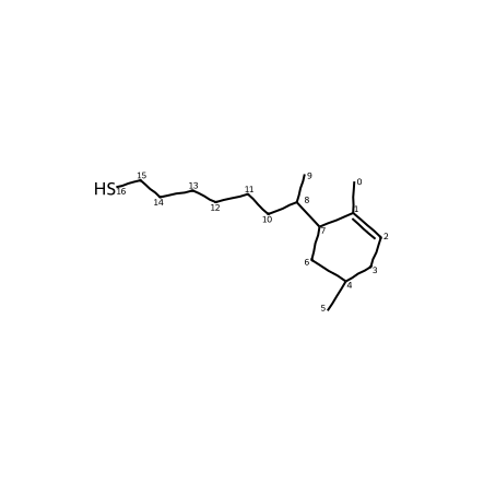 CC1=CCC(C)CC1C(C)CCCCCCS